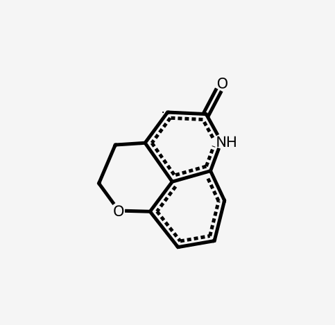 O=c1[c]c2c3c(cccc3[nH]1)OCC2